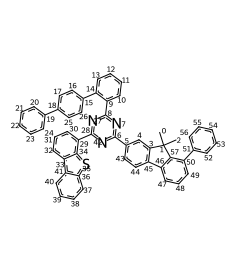 CC1(C)c2cc(-c3nc(-c4ccccc4-c4ccc(-c5ccccc5)cc4)nc(-c4cccc5c4sc4ccccc45)n3)ccc2-c2cccc(-c3ccccc3)c21